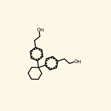 OCCc1ccc(C2(c3ccc(CCO)cc3)CCCCC2)cc1